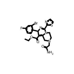 CCOC(=O)C1=C2CN(CC(N)=O)CCN2C(c2nccs2)=NC1c1ccc(F)cc1Br